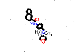 C[N+](C)(Cc1ccc(NC(=O)C2=Cc3ccccc3CCC2)cc1)C1CCOCC1